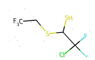 FC(F)(F)CSC(S)C(F)(F)Cl